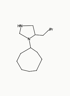 CC(C)CC1CNCN1C1CCCCCCC1